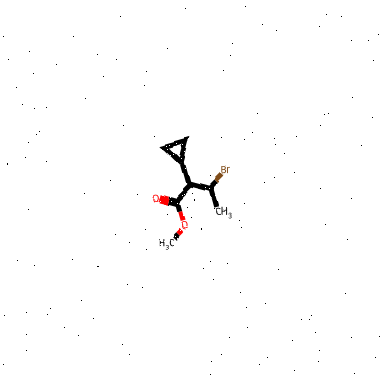 COC(=O)C(C(C)Br)C1CC1